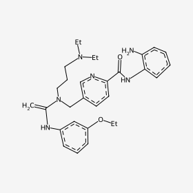 C=C(Nc1cccc(OCC)c1)N(CCCN(CC)CC)Cc1ccc(C(=O)Nc2ccccc2N)nc1